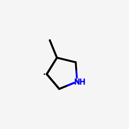 CC1[CH]CNC1